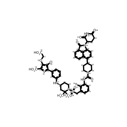 CC1(C)C[C@@H](Nc2cccc(-c3sc(C(=O)O)c(OCC(=O)O)c3Cl)c2)CCN1S(=O)(=O)Cc1cccc(NC(=O)N2CCC(c3ccc4c5c(cccc35)C(=O)N4C3CCC(=O)NC3=O)CC2)c1F